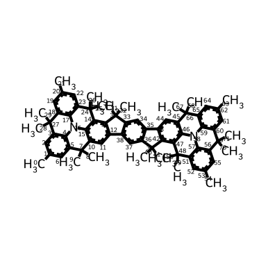 Cc1cc2c3c(c1)C(C)(C)c1cc4c(c5c1N3c1c(cc(C)cc1C5(C)C)C2(C)C)C(C)(C)c1cc2c(cc1-4)C(C)(C)c1c-2cc2c3c1C(C)(C)c1cc(C)cc4c1N3c1c(cc(C)cc1C2(C)C)C4(C)C